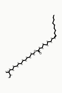 CCCCCCCC/C=C\CCCCCCCC(=O)OCCCCCCCCCCCCC(C)CC